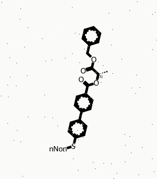 CCCCCCCCCSc1ccc(-c2ccc(C(=O)O[C@@H](C)C(=O)OCc3ccccc3)cc2)cc1